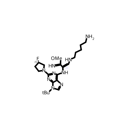 COC(=N)/C(=C\NCCCCCN)Nc1nc(N2CC[C@H](F)C2)nc2c1ncn2C(C)(C)C